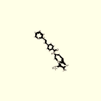 Cc1c(C(C)C)nc2ccc(NC(=O)c3ccc(C=Cc4ccccn4)cc3)cn12